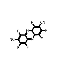 N#CC1=C(F)C2N=c3c(F)c(C#N)c(F)c(F)c3=NC2C(F)=C1F